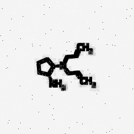 C=CCN(CC=C)[C@H]1CCC[C@H]1N